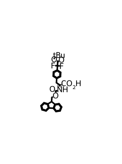 CC(C)(C)OC(=O)C(F)(F)c1ccc(C[C@@H](NC(=O)OCC2c3ccccc3-c3ccccc32)C(=O)O)cc1